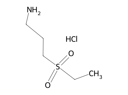 CCS(=O)(=O)CCCN.Cl